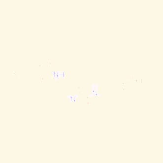 COc1ccc(CNC(=O)c2ccc(CNS(=O)(=O)c3ccc(F)c(Cl)c3)cn2)cc1